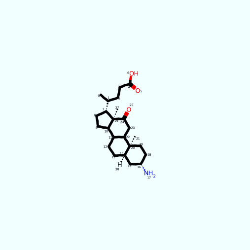 CC(CCC(=O)O)[C@H]1CCC2C3CC[C@@H]4C[C@@H](N)CC[C@]4(C)C3CC(=O)[C@@]21C